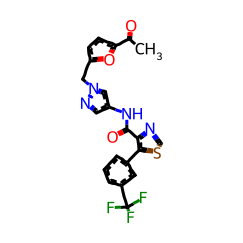 CC(=O)c1ccc(Cn2cc(NC(=O)c3ncsc3-c3cccc(C(F)(F)F)c3)cn2)o1